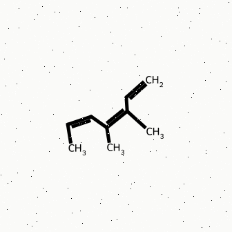 C=C/C(C)=C(C)\C=C/C